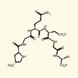 CC(C)[C@H](NC(=O)CNC(=O)[C@H](CC(=O)O)NC(=O)[C@H](CCC(N)=O)NC(=O)CNC(=O)[C@@H]1C[C@@H](O)CN1)C(=O)O